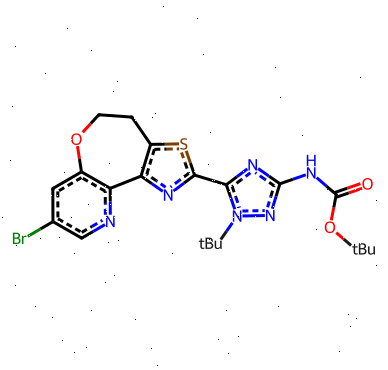 CC(C)(C)OC(=O)Nc1nc(-c2nc3c(s2)CCOc2cc(Br)cnc2-3)n(C(C)(C)C)n1